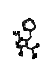 Cn1nc(Cl)c(C(=O)O)c1Cc1ccccc1